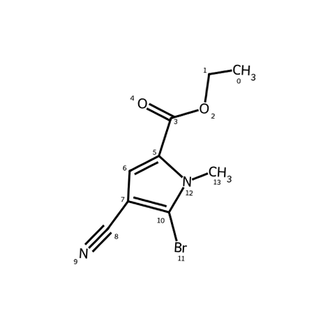 CCOC(=O)c1cc(C#N)c(Br)n1C